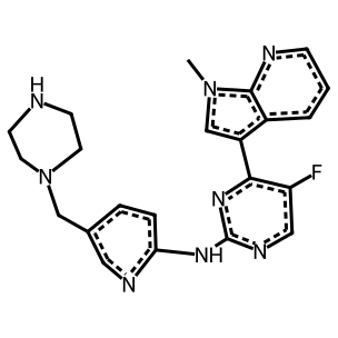 Cn1cc(-c2nc(Nc3ccc(CN4CCNCC4)cn3)ncc2F)c2cccnc21